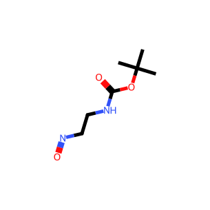 CC(C)(C)OC(=O)NCCN=O